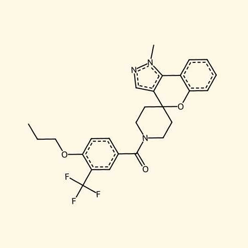 CCCOc1ccc(C(=O)N2CCC3(CC2)Oc2ccccc2-c2c3cnn2C)cc1C(F)(F)F